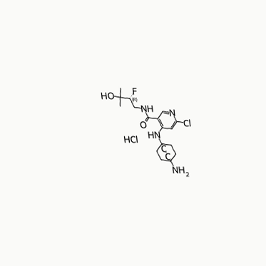 CC(C)(O)[C@H](F)CNC(=O)c1cnc(Cl)cc1NC12CCC(N)(CC1)CC2.Cl